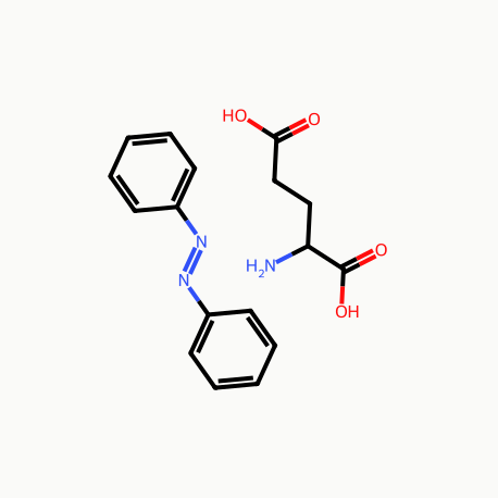 NC(CCC(=O)O)C(=O)O.c1ccc(N=Nc2ccccc2)cc1